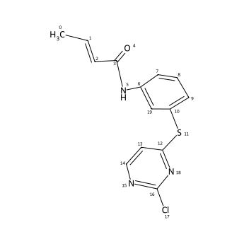 CC=CC(=O)Nc1cccc(Sc2ccnc(Cl)n2)c1